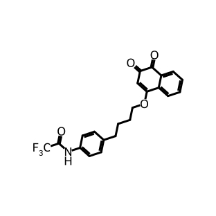 O=C1C=C(OCCCCc2ccc(NC(=O)C(F)(F)F)cc2)c2ccccc2C1=O